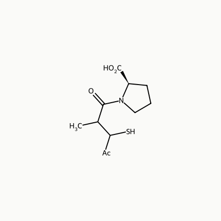 CC(=O)C(S)C(C)C(=O)N1CCC[C@@H]1C(=O)O